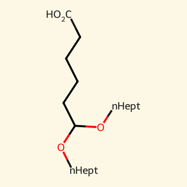 CCCCCCCOC(CCCCC(=O)O)OCCCCCCC